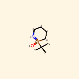 CC(C)(C)S1(=O)=NCCCC1